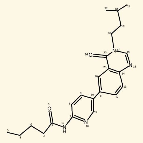 CCCCC(=O)Nc1ccc(-c2ccc3ncn(CCC(C)C)c(=O)c3c2)cn1